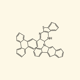 c1ccc2cc3c(cc2c1)c1ccccc1n3C1Nc2c(sc3ccccc23)N=C1c1ccc2c3ccccc3c3ccccc3c2c1